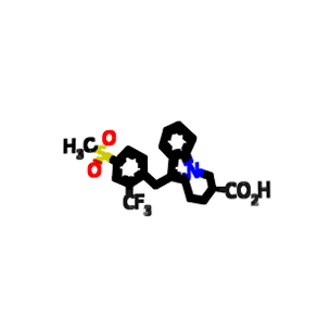 CS(=O)(=O)c1ccc(Cc2c3n(c4ccccc24)C[C@@H](C(=O)O)CC3)c(C(F)(F)F)c1